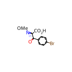 CO/N=C(\C(=O)O)C(=O)c1ccc(Br)cc1